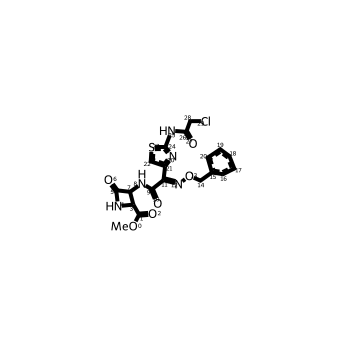 COC(=O)C1NC(=O)C1NC(=O)C(=NOCc1ccccc1)c1csc(NC(=O)CCl)n1